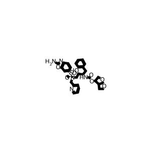 Nc1nc2ccc(S(=O)(=O)N(Cc3ccccn3)CC(O)C(Cc3ccccc3)NC(=O)OC3COC4OCCC34)cc2o1